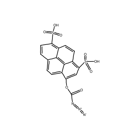 [N-]=[N+]=NC(=O)Oc1cc(S(=O)(=O)O)c2ccc3c(S(=O)(=O)O)ccc4ccc1c2c43